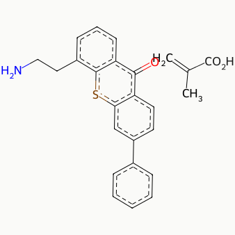 C=C(C)C(=O)O.NCCc1cccc2c(=O)c3ccc(-c4ccccc4)cc3sc12